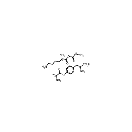 C[C@H](N)C(=O)OC(=O)[C@@H](N)CCCCN.C[C@H](N)C(=O)Oc1ccc(C[C@H](N)C(=O)O)cc1